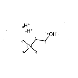 C[N+](C)(C)CCO.[H+].[H+]